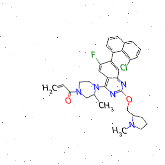 C=CC(=O)N1CCN(c2nc(OCC3CCCN3C)nc3cc(-c4cccc5cccc(Cl)c45)c(F)cc23)C(C)C1